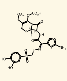 CC(=O)OCC1=C(OC(=O)O)N2C(=O)[C@@H](NC(=O)/C(=N\OCS(=O)(=O)c3ccc(O)c(O)c3)c3csc(N)n3)[C@H]2SC1